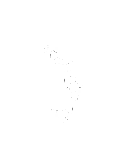 COc1cc(-c2ccc3c(c2)Nc2ccc(C(C)(C)C(=O)NCc4ccc(OC(F)(F)F)cc4)cc2NC3=O)ccc1[N+](=O)[O-]